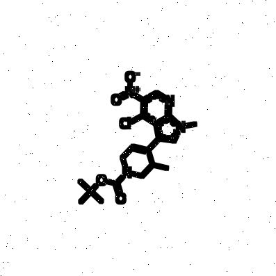 CC1CN(C(=O)OC(C)(C)C)CC=C1c1cn(C)c2ncc([N+](=O)[O-])c(Cl)c12